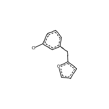 Clc1cccc(Cc2ccco2)c1